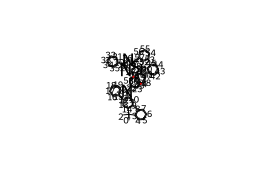 CC1(C)c2ccccc2-c2cc3c(cc21)c1ccccc1n3-c1cccc(-c2nc(-c3ccccc3)nc3c2[Si](c2ccccc2)(c2ccccc2)c2ccccc2-3)c1